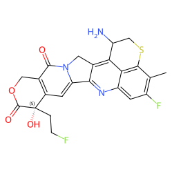 Cc1c(F)cc2nc3c(c4c2c1SCC4N)Cn1c-3cc2c(c1=O)COC(=O)[C@]2(O)CCF